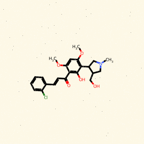 COc1cc(OC)c(C2CN(C)CC2CO)c(O)c1C(=O)/C=C/c1ccccc1Cl